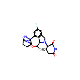 O=CC(=O)C1c2c(cc(F)cc2N2CC3CCC2CN3)CN1C1CCC(=O)NC1=O